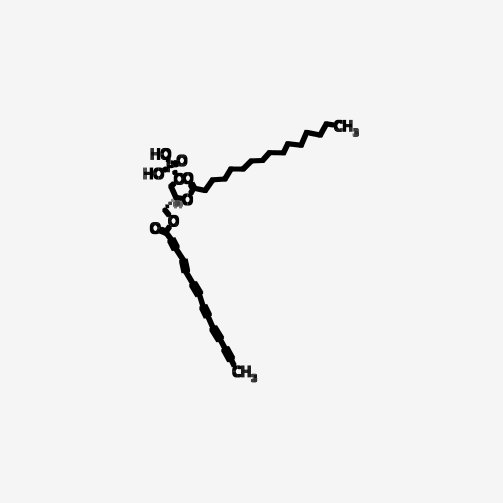 CC#CC#CC#CC#CC#CC#CC(=O)OC[C@H](COP(=O)(O)O)OC(=O)CCCCCCCCCCCCCCC